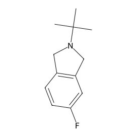 CC(C)(C)N1Cc2ccc(F)cc2C1